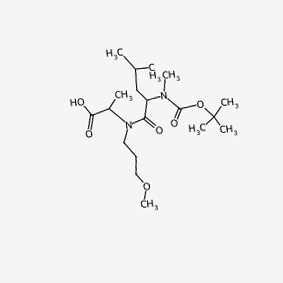 COCCCN(C(=O)C(CC(C)C)N(C)C(=O)OC(C)(C)C)C(C)C(=O)O